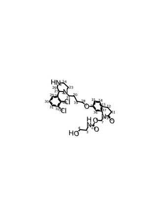 O=C(NCCO)OCN1C(=O)CCc2ccc(OCCCCN3CCNCC3c3cccc(Cl)c3Cl)cc21